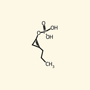 CCCC1=C(OP(=O)(O)O)C1